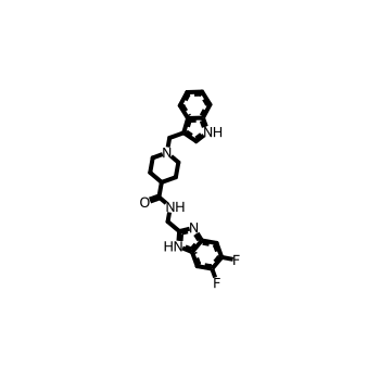 O=C(NCc1nc2cc(F)c(F)cc2[nH]1)C1CCN(Cc2c[nH]c3ccccc23)CC1